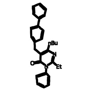 CCCCc1nc(CC)n(-c2ccccc2)c(=O)c1Cc1ccc(-c2ccccc2)cc1